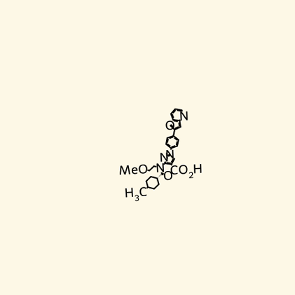 COCCN(c1nn(-c2ccc(-c3cc4ncccc4o3)cc2)cc1C(=O)O)C(=O)[C@H]1CC[C@H](C)CC1